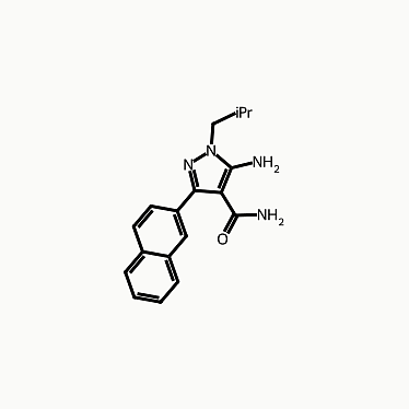 CC(C)Cn1nc(-c2ccc3ccccc3c2)c(C(N)=O)c1N